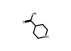 CCCC(=O)C1CCNCC1